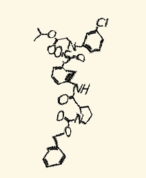 CC(C)OC(=O)CN(c1cccc(Cl)c1)S(=O)(=O)c1cccc(NC(=O)C2CCCN2C(=O)OCc2ccccc2)c1